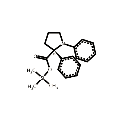 C[Si](C)(C)OC(=O)[C@]1(c2ccccc2)CCCN1c1ccccc1